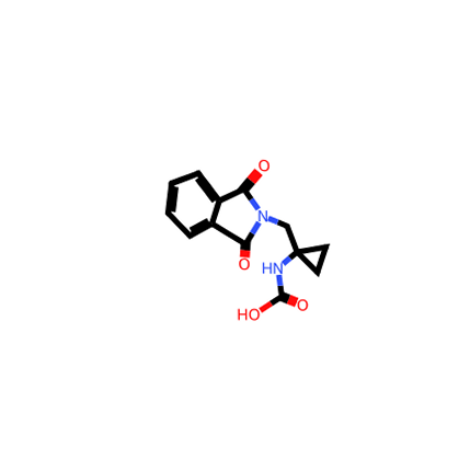 O=C(O)NC1(CN2C(=O)c3ccccc3C2=O)CC1